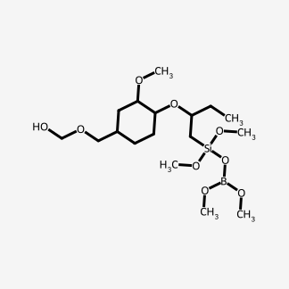 CCC(C[Si](OC)(OC)OB(OC)OC)OC1CCC(COCO)CC1OC